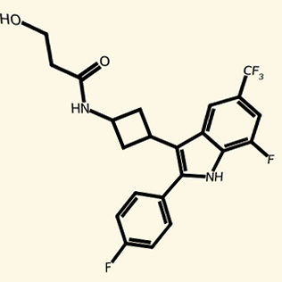 O=C(CCO)NC1CC(c2c(-c3ccc(F)cc3)[nH]c3c(F)cc(C(F)(F)F)cc23)C1